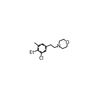 CCc1c(C)cc(CCN2CCOCC2)cc1Cl